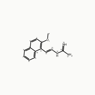 COc1ccc2ccccc2c1/C=N/NC(=N)N